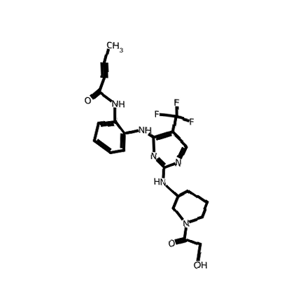 CC#CC(=O)Nc1ccccc1Nc1nc(NC2CCCN(C(=O)CO)C2)ncc1C(F)(F)F